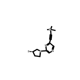 C[Si](C)(C)C#Cc1cncc(N2CC[C@@H](F)C2)n1